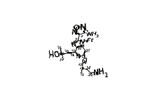 CCn1c(-c2nonc2N)nc2c(C#CC(C)(C)O)nc(OCC(C)CCN)cc21